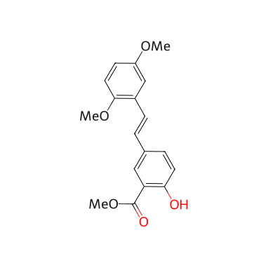 COC(=O)c1cc(C=Cc2cc(OC)ccc2OC)ccc1O